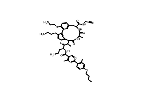 CCCCOc1ccc(-c2ncc(C(=O)NC(CCN)C(=O)N(C)C3C(=O)NC(C)C(=O)NC(C(=O)NCC#N)Cc4ccc(OCCN)c(c4)-c4cc3ccc4OCCN)c(C)n2)c(C)c1